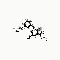 N=c1c(C(N)=O)cc(Cl)cn1Cc1cccc(OCC(F)(F)F)c1